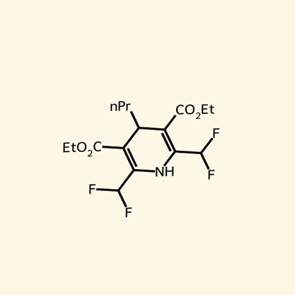 CCCC1C(C(=O)OCC)=C(C(F)F)NC(C(F)F)=C1C(=O)OCC